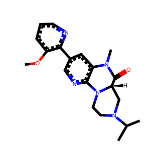 COc1cccnc1-c1cnc2c(c1)N(C)C(=O)[C@@H]1CN(C(C)C)CCN21